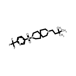 CC(C)(C)CCN1CCC2(CC1)CCN(S(=O)(=O)c1ccc(C(F)(F)F)nc1)CC2